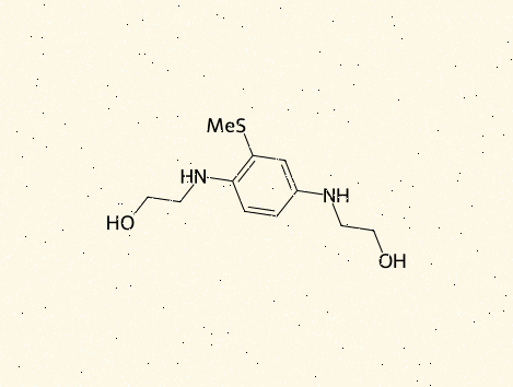 CSc1cc(NCCO)ccc1NCCO